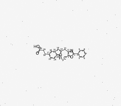 Cc1oc(-c2ccccc2)nc1Cc1cc2cc(CCC(=O)O)ccc2o1